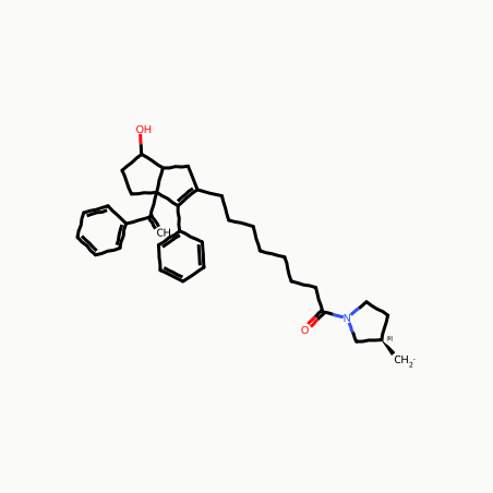 [CH2][C@@H]1CCN(C(=O)CCCCCCCC2=C(c3ccccc3)C3(C(=C)c4ccccc4)CCC(O)C3C2)C1